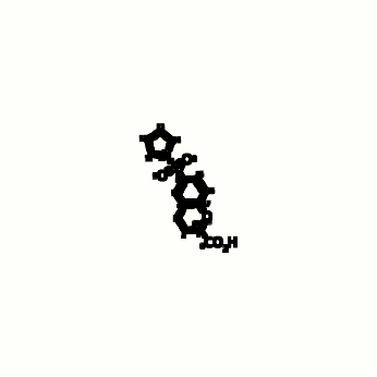 O=C(O)[C@H]1CCc2cc(S(=O)(=O)N3CCCC3)ccc2O1